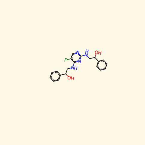 OC(CNc1ncc(F)c(NCC(O)c2ccccc2)n1)c1ccccc1